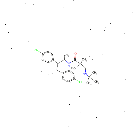 CC(NC(=O)C(C)(C)CNC(C)(C)C)C(Cc1ccc(Cl)cc1)c1ccc(Cl)cc1